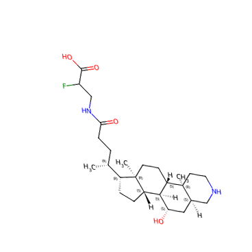 C[C@H](CCC(=O)NCC(F)C(=O)O)[C@H]1CC[C@H]2[C@@H]3[C@@H](O)C[C@@H]4CNCC[C@]4(C)[C@H]3CC[C@]12C